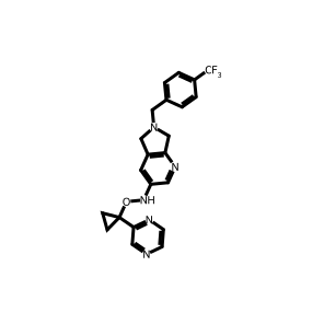 FC(F)(F)c1ccc(CN2Cc3cc(NOC4(c5cnccn5)CC4)cnc3C2)cc1